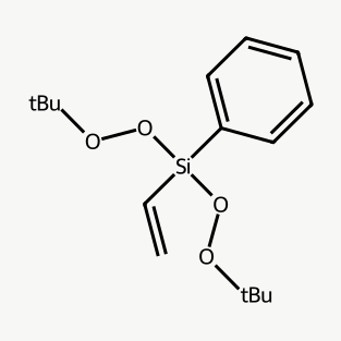 C=C[Si](OOC(C)(C)C)(OOC(C)(C)C)c1ccccc1